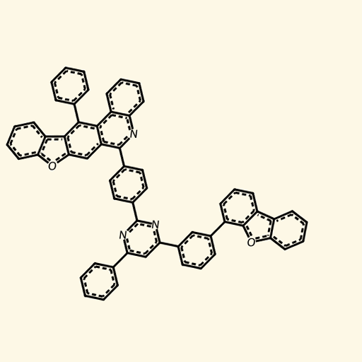 c1ccc(-c2cc(-c3cccc(-c4cccc5c4oc4ccccc45)c3)nc(-c3ccc(-c4nc5ccccc5c5c(-c6ccccc6)c6c(cc45)oc4ccccc46)cc3)n2)cc1